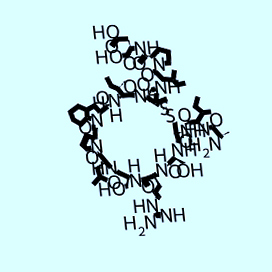 CCC(C)[C@H](NC(=O)[C@H](C)N)C(=O)N[C@H]1CSSC(C)(C)[C@@H](C(=O)N[C@H](C(=O)N2CCC[C@H]2C(=O)N[C@@H](CC(=O)O)C(=O)O)C(C)CC)NC(=O)[C@H]([C@@H](C)CC)NC(=O)[C@@H]2CC3CCCCC3N2C(=O)C2C=CCN2C(=O)[C@H](CC(C)C)NC(=O)[C@H](CO)NC(=O)[C@H](CCCNC(=N)N)NC(=O)[C@H](CO)NC1=O